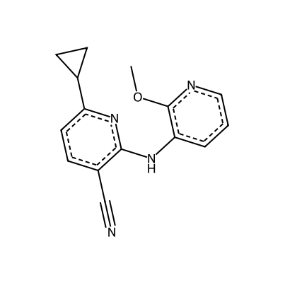 COc1ncccc1Nc1nc(C2CC2)ccc1C#N